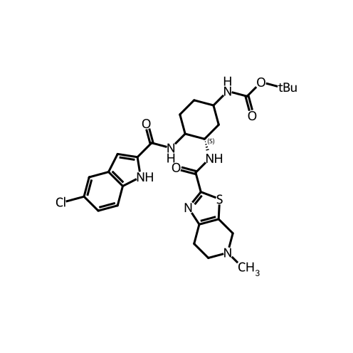 CN1CCc2nc(C(=O)N[C@H]3CC(NC(=O)OC(C)(C)C)CCC3NC(=O)c3cc4cc(Cl)ccc4[nH]3)sc2C1